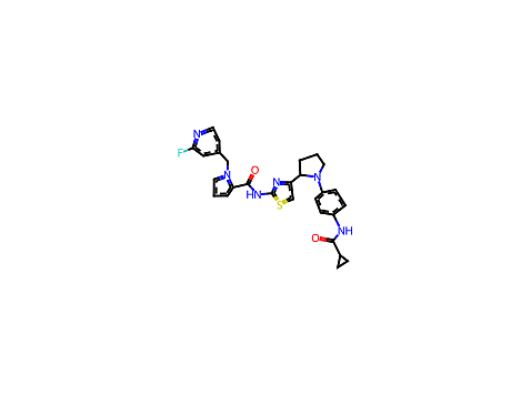 O=C(Nc1nc(C2CCCN2c2ccc(NC(=O)C3CC3)cc2)cs1)c1cccn1Cc1ccnc(F)c1